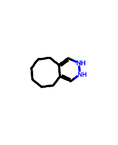 C1=C2CCCCCCC2=CNN1